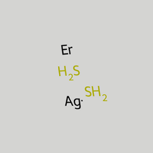 S.S.[Ag].[Er]